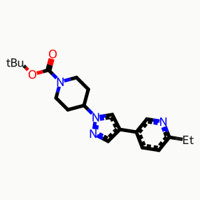 CCc1ccc(-c2cnn(C3CCN(C(=O)OC(C)(C)C)CC3)c2)cn1